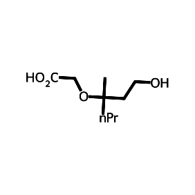 CCCC(C)(CCO)OCC(=O)O